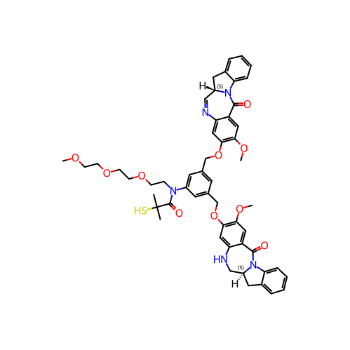 COCCOCCOCCN(C(=O)C(C)(C)S)c1cc(COc2cc3c(cc2OC)C(=O)N2c4ccccc4C[C@H]2C=N3)cc(COc2cc3c(cc2OC)C(=O)N2c4ccccc4C[C@H]2CN3)c1